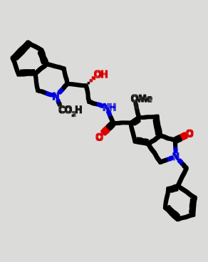 COc1cc2c(cc1C(=O)NC[C@@H](O)C1Cc3ccccc3CN1C(=O)O)CN(Cc1ccccc1)C2=O